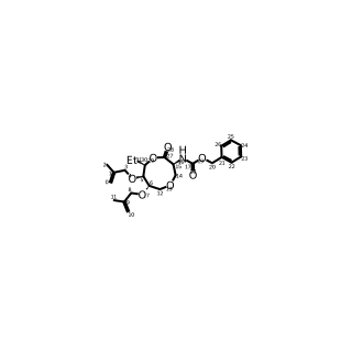 C=C(C)CO[C@@H]1[C@@H](OCC(=C)C)COC[C@H](NC(=O)OCc2ccccc2)C(=O)O[C@@H]1CC